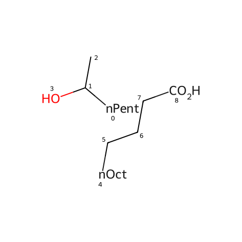 CCCCCC(C)O.CCCCCCCCCCCC(=O)O